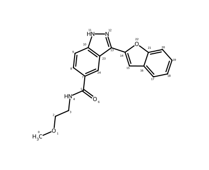 COCCNC(=O)c1ccc2[nH]nc(-c3cc4ccccc4o3)c2c1